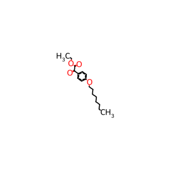 CCCCCCCCOc1ccc(C(=O)C(=O)OCC)cc1